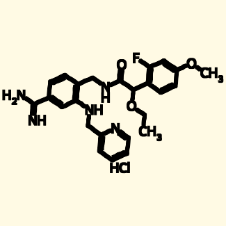 CCOC(C(=O)NCc1ccc(C(=N)N)cc1NCc1ccccn1)c1ccc(OC)cc1F.Cl